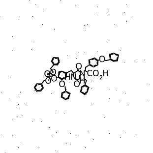 O=C(NC(Cc1ccc(OP(=O)(OCc2ccccc2)OCc2ccccc2)c(OCc2ccccc2)c1)C(=O)NC(Cc1ccc(OCc2ccccc2)cc1)C(=O)O)OCc1ccccc1